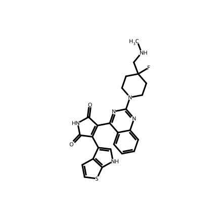 CNCC1(F)CCN(c2nc(C3=C(c4c[nH]c5sccc45)C(=O)NC3=O)c3ccccc3n2)CC1